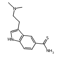 CN(C)CCc1c[nH]c2ccc(C(N)=S)cc12